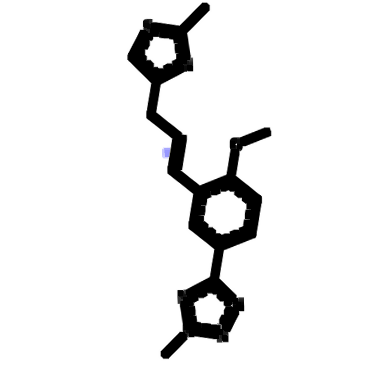 COc1ccc(-c2nnn(C)n2)cc1/C=C/Cc1csc(C)n1